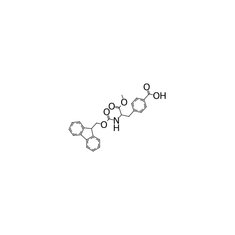 COC(=O)C(Cc1ccc(C(=O)O)cc1)NC(=O)OCC1c2ccccc2-c2ccccc21